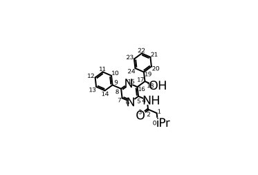 CC(C)CC(=O)Nc1ncc(-c2ccccc2)nc1C(O)c1ccccc1